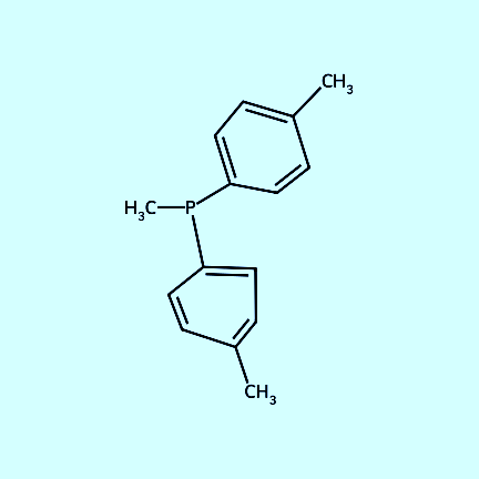 Cc1ccc(P(C)c2ccc(C)cc2)cc1